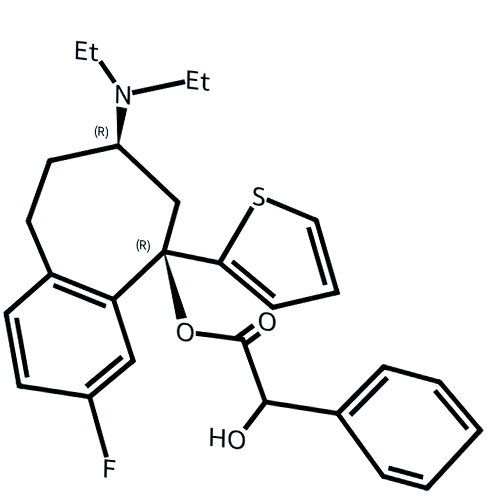 CCN(CC)[C@@H]1CCc2ccc(F)cc2[C@@](OC(=O)C(O)c2ccccc2)(c2cccs2)C1